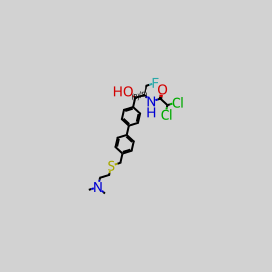 CN(C)CCSCc1ccc(-c2ccc([C@@H](O)[C@@H](CF)NC(=O)C(Cl)Cl)cc2)cc1